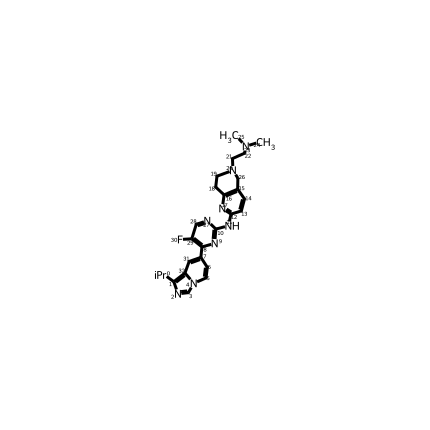 CC(C)c1ncn2ccc(-c3nc(Nc4ccc5c(n4)CCN(CCN(C)C)C5)ncc3F)cc12